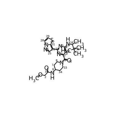 COCC(=O)NC1CCN(C(=O)c2cc(NC(C)C(C)(C)C)nc(-c3cnn4ccsc34)n2)CC1